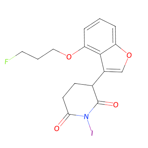 O=C1CCC(c2coc3cccc(OCCCF)c23)C(=O)N1I